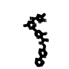 Cc1cc(Nc2cc(C)[nH]n2)nc(-c2cnc(C(=O)NCc3ccc(-c4ccccc4)nc3)c(F)c2)n1